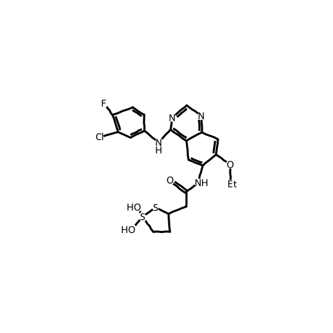 CCOc1cc2ncnc(Nc3ccc(F)c(Cl)c3)c2cc1NC(=O)CC1CCS(O)(O)S1